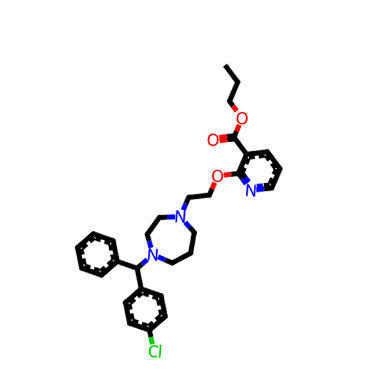 CCCOC(=O)c1cccnc1OCCN1CCCN(C(c2ccccc2)c2ccc(Cl)cc2)CC1